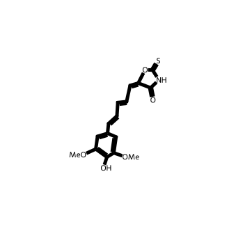 COc1cc(C=CC=CC=C2OC(=S)NC2=O)cc(OC)c1O